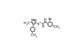 Cc1ccc(-n2c(C)nnc2SCC(=O)Nc2ccc(C)cc2Br)cc1